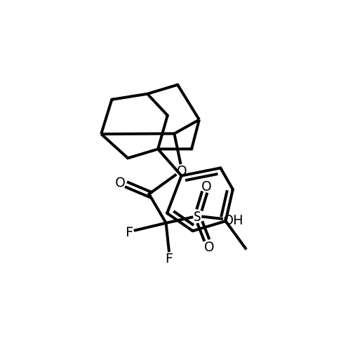 Cc1ccc(C23CC4CC(C2)C(OC(=O)C(F)(F)S(=O)(=O)O)C(C4)C3)cc1